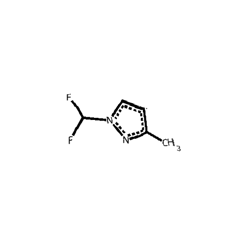 Cc1[c]cn(C(F)F)n1